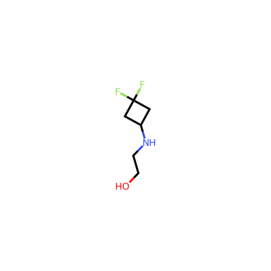 OCCNC1CC(F)(F)C1